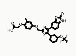 Cc1cc(OCc2nc(-c3ccc4[nH]c(=O)oc4c3)c(-c3cccc(OC(F)(F)F)c3)s2)ccc1OCC(=O)O